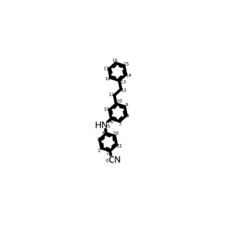 N#Cc1ccc(Nc2cccc(CCc3ccccc3)c2)cc1